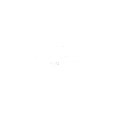 NC12CC(CC1c1ccccc1)CC2c1ccccc1